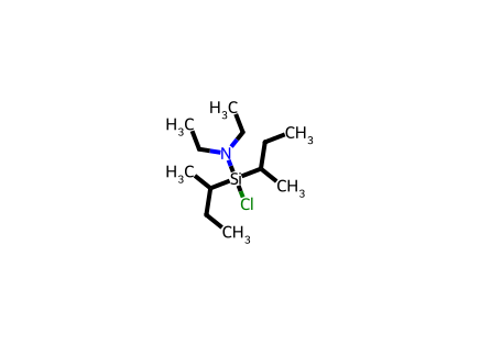 CCC(C)[Si](Cl)(C(C)CC)N(CC)CC